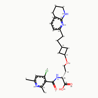 Cc1cc(Cl)c(C(=O)N[C@H](CCOC2CC(CCc3ccc4c(n3)NCCC4)C2)C(=O)O)c(C)n1